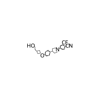 N#Cc1ccc(N2CCC(c3ccc(O[C@H]4C[C@H](CCO)C4)cc3)CC2)cc1C(F)(F)F